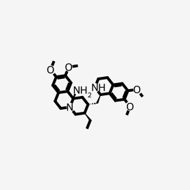 CC[C@H]1CN2CCc3cc(OC)c(OC)cc3[C@]2(N)C[C@@H]1C[C@H]1NCCc2cc(OC)c(OC)cc21